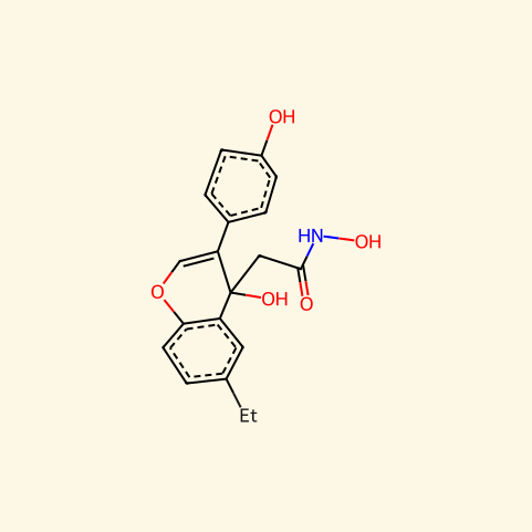 CCc1ccc2c(c1)C(O)(CC(=O)NO)C(c1ccc(O)cc1)=CO2